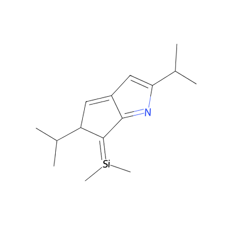 CC(C)C1=CC2=CC(C(C)C)C(=[Si](C)C)C2=N1